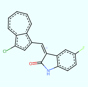 O=C1Nc2ccc(F)cc2/C1=C/c1cc(Cl)c2cccccc1-2